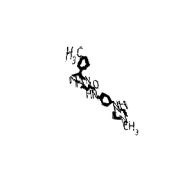 Cc1cccc(-c2cnn3ccc(C(=O)Nc4ccc(NN5CCN(C)CC5)cc4)nc23)c1